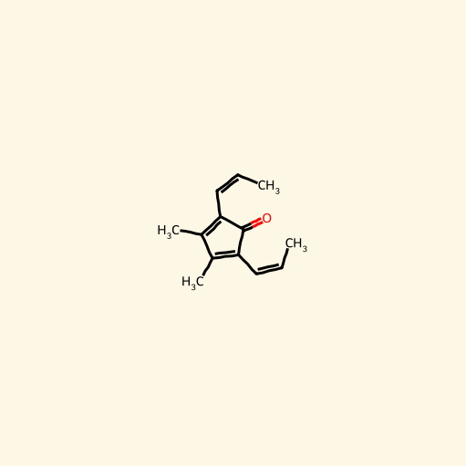 C/C=C\C1=C(C)C(C)=C(/C=C\C)C1=O